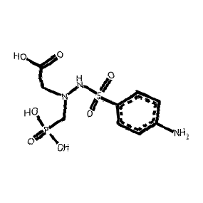 Nc1ccc(S(=O)(=O)NN(CC(=O)O)CP(=O)(O)O)cc1